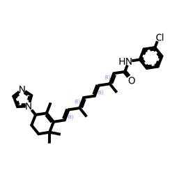 CC1=C(/C=C/C(C)=C/C=C/C(C)=C/C(=O)Nc2cccc(Cl)c2)C(C)(C)CCC1n1ccnc1